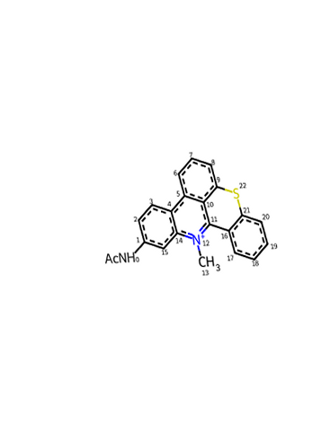 CC(=O)Nc1ccc2c3cccc4c3c([n+](C)c2c1)-c1ccccc1S4